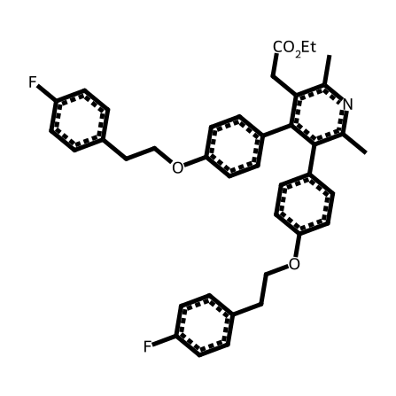 CCOC(=O)Cc1c(C)nc(C)c(-c2ccc(OCCc3ccc(F)cc3)cc2)c1-c1ccc(OCCc2ccc(F)cc2)cc1